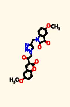 COc1ccc2c(c1)C(=O)C(=O)N2Cc1cn(CC(=O)c2cc3cc(OC)ccc3oc2=O)nn1